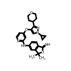 CC1(C)OC(=N)c2ccc(Nc3cc(Oc4cn(C5CC5)nc4C4CCOCC4)ccn3)cc21